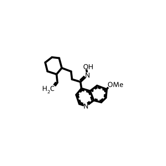 C=CC1CCCCC1CCC(=NO)c1ccnc2ccc(OC)cc12